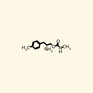 CNC(=O)OC[C@H](N)Cc1ccc(C)cc1